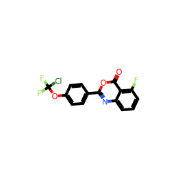 O=c1oc(-c2ccc(OC(F)(F)Cl)cc2)nc2cccc(F)c12